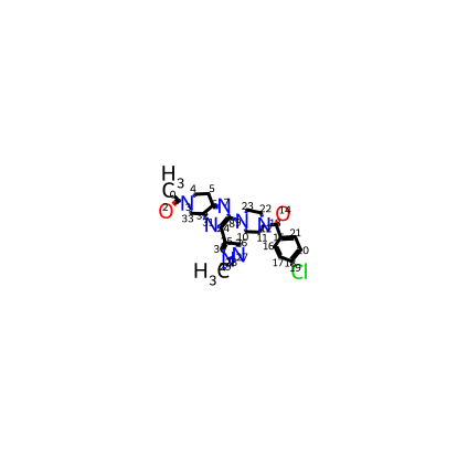 CC(=O)N1CCc2nc(N3CCN(C(=O)c4ccc(Cl)cc4)CC3)c(-c3cnn(C)c3)nc2C1